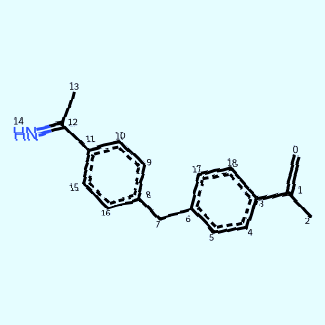 C=C(C)c1ccc(Cc2ccc(C(C)=N)cc2)cc1